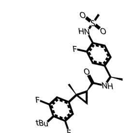 C[C@@H](NC(=O)[C@H]1C[C@]1(C)c1cc(F)c(C(C)(C)C)c(F)c1)c1ccc(NS(C)(=O)=O)c(F)c1